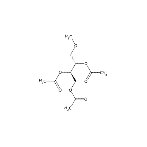 COC[C@H](OC(C)=O)[C@@H](COC(C)=O)OC(C)=O